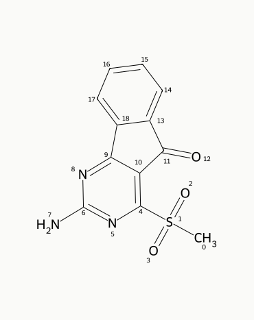 CS(=O)(=O)c1nc(N)nc2c1C(=O)c1ccccc1-2